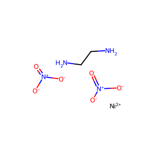 NCCN.O=[N+]([O-])[O-].O=[N+]([O-])[O-].[Ni+2]